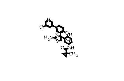 CC1(C(=O)N[C@H]2CC[C@@H]3Oc4ccc(-c5cncc(Cl)c5)cc4C4(CSC(N)=N4)[C@H]3C2)CC1